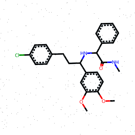 CNC(=O)C(NC(CCc1ccc(Cl)cc1)c1ccc(OC)c(OC)c1)c1ccccc1